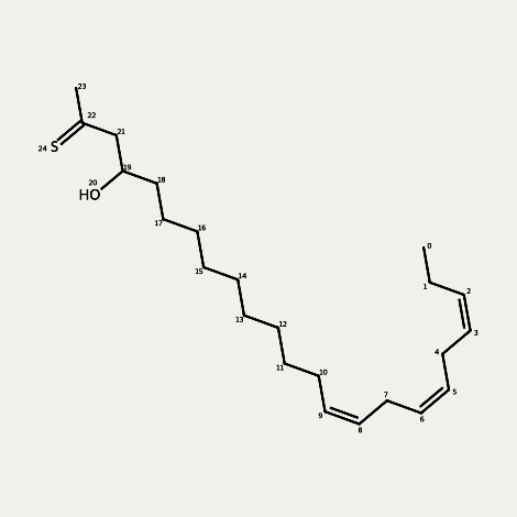 CC/C=C\C/C=C\C/C=C\CCCCCCCCCC(O)CC(C)=S